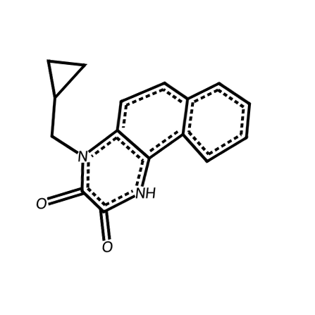 O=c1[nH]c2c3ccccc3ccc2n(CC2CC2)c1=O